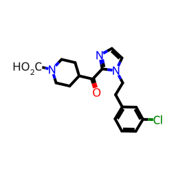 O=C(c1nccn1CCc1cccc(Cl)c1)C1CCN(C(=O)O)CC1